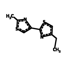 CCc1csc(-c2csc(C)n2)n1